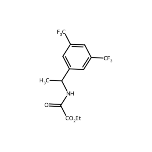 CCOC(=O)C(=O)NC(C)c1cc(C(F)(F)F)cc(C(F)(F)F)c1